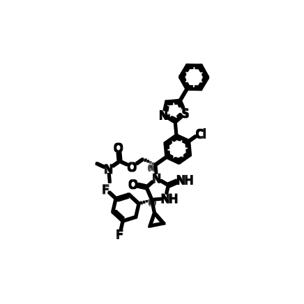 CN(C)C(=O)OC[C@H](c1ccc(Cl)c(-c2ncc(-c3ccccc3)s2)c1)N1C(=N)N[C@@](C2C=C(F)C=C(F)C2)(C2CC2)C1=O